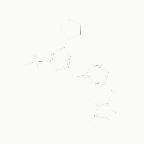 Cc1n[nH]c(Nc2ccnc(Nc3cc(N4CCCC4)cc(S(C)(=O)=O)c3)n2)c1C